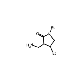 CCC1CN(CC)C(=O)C1CN